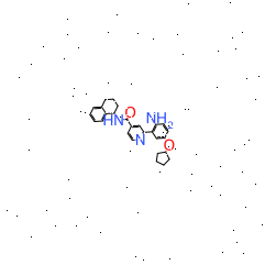 Nc1ccc(OC2CCCC2)cc1-c1cc(C(=O)NC2CCCc3ccccc32)ccn1